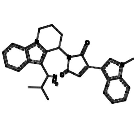 CC(C)C(N)c1c2n(c3ccccc13)CCCC2N1C(=O)C=C(c2cn(C)c3ccccc23)C1=O